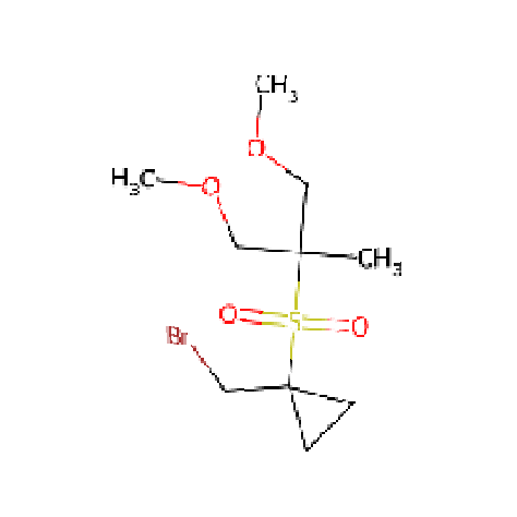 COCC(C)(COC)S(=O)(=O)C1(CBr)CC1